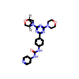 O=C(Nc1ccncc1)Nc1ccc(-c2nc(N3CCOCC3)nc(N3C[C@@H]4C[C@H]3CO4)n2)cc1